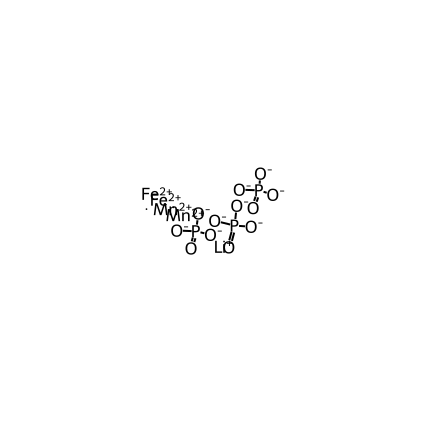 O=P([O-])([O-])[O-].O=P([O-])([O-])[O-].O=P([O-])([O-])[O-].[Fe+2].[Fe+2].[Li+].[Mn+2].[Mn+2]